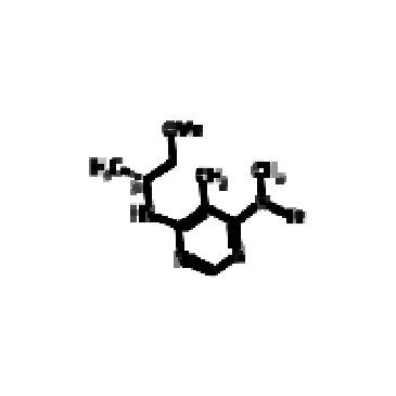 CCN(C)c1ncnc(N[C@H](C)COC)c1C